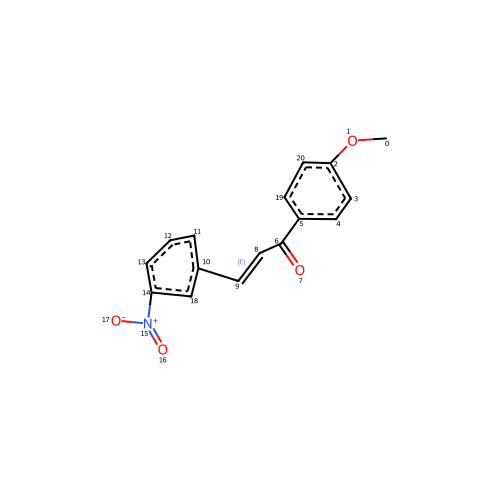 COc1ccc(C(=O)/C=C/c2cccc([N+](=O)[O-])c2)cc1